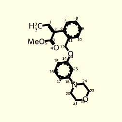 CC=C(C(=O)OC)c1ccccc1COc1cccc(N2CCOCC2)c1